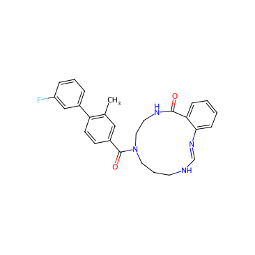 Cc1cc(C(=O)N2CCCN/C=N/c3ccccc3C(=O)NCC2)ccc1-c1cccc(F)c1